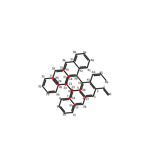 C=Cc1ccc(P(c2ccccc2)c2ccccc2)c(-c2c(P(c3ccccc3)c3ccccc3)ccc3ccccc23)c1/C=C\C